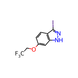 FC(F)(F)COc1ccc2c(I)n[nH]c2c1